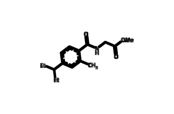 CCC(CC)c1ccc(C(=O)NCC(=O)OC)c(C)c1